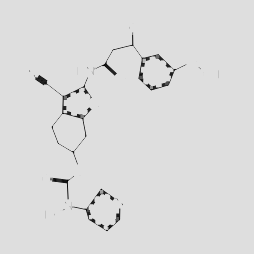 COc1cccc(C(C)CC(=O)Nc2sc3c(c2C#N)CCC(OC(=O)N(C)c2cccnc2)C3)c1